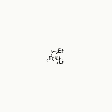 CCCCC.[Li].[Li]